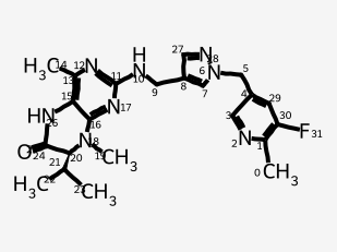 Cc1ncc(Cn2cc(CNc3nc(C)c4c(n3)N(C)[C@@H](C(C)C)C(=O)N4)cn2)cc1F